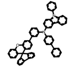 c1ccc(-c2ccc(N(c3cccc(-c4ccc5c(c4)Oc4ccccc4C54c5ccccc5-c5ccccc54)c3)c3ccc4c(c3)c3ccccc3n4-c3ccccc3)cc2)cc1